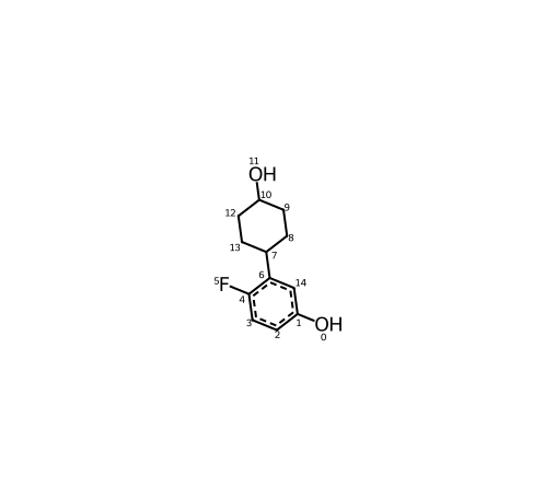 Oc1ccc(F)c(C2CCC(O)CC2)c1